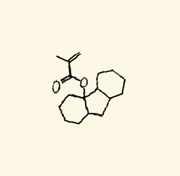 C=C(C)C(=O)OC12CCCCC1CC1CCCCC12